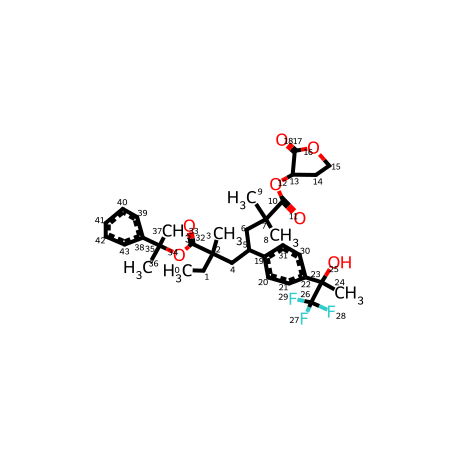 CCC(C)(CC(CC(C)(C)C(=O)OC1CCOC1=O)c1ccc(C(C)(O)C(F)(F)F)cc1)C(=O)OC(C)(C)c1ccccc1